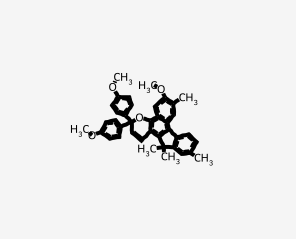 COc1ccc(C2(c3ccc(OC)cc3)C=Cc3c4c(c5cc(C)c(OC)cc5c3O2)-c2ccc(C)cc2C4(C)C)cc1